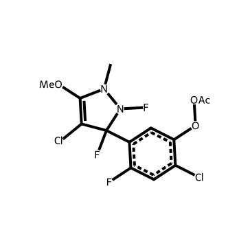 COC1=C(Cl)C(F)(c2cc(OOC(C)=O)c(Cl)cc2F)N(F)N1C